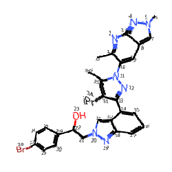 Cc1nc2nn(C)cc2cc1-n1nc(-c2cccc3nn(CC(O)c4ccc(Br)cc4)cc23)c(C(C)C)c1C